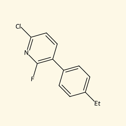 CCc1ccc(-c2ccc(Cl)nc2F)cc1